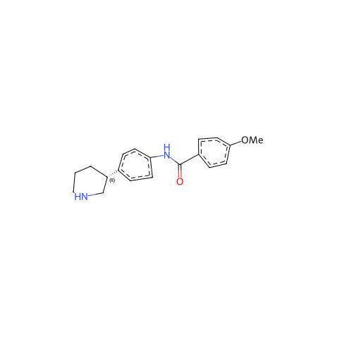 COc1ccc(C(=O)Nc2ccc([C@H]3CCCNC3)cc2)cc1